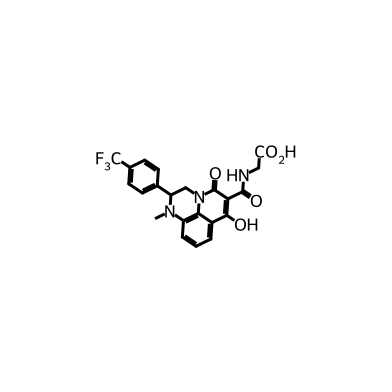 CN1c2cccc3c(O)c(C(=O)NCC(=O)O)c(=O)n(c23)CC1c1ccc(C(F)(F)F)cc1